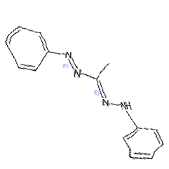 CC(/N=N/c1ccccc1)=N\Nc1ccccc1